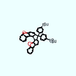 CC(C)(C)c1ccc(C2(c3ccc(C(C)(C)C)cc3)c3ccc4c(oc5ccccc54)c3-c3c2ccc2oc4ccccc4c32)cc1